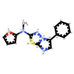 CN(c1ccco1)c1nn2c(-c3ccccc3)cnc2s1